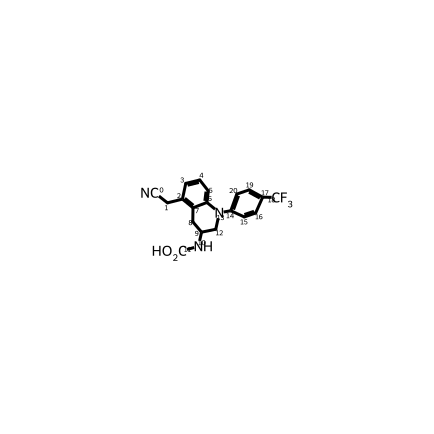 N#CCc1cccc2c1CC(NC(=O)O)CN2c1ccc(C(F)(F)F)cc1